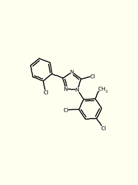 Cc1cc(Cl)cc(Cl)c1-n1nc(-c2ccccc2Cl)nc1Cl